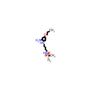 CCCCOc1ccc(NCCCCCNS(=O)(=O)C(C)C)c(N)c1